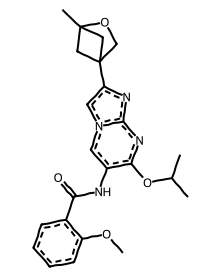 COc1ccccc1C(=O)Nc1cn2cc(C34COC(C)(C3)C4)nc2nc1OC(C)C